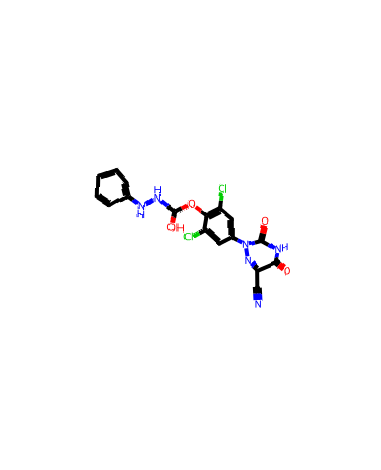 N#Cc1nn(-c2cc(Cl)c(OC(O)NNc3ccccc3)c(Cl)c2)c(=O)[nH]c1=O